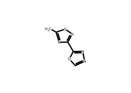 Cc1nc(-c2nnco2)ns1